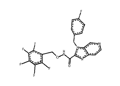 O=C(NOCc1c(F)c(F)c(F)c(F)c1F)c1nc2ccncc2n1Cc1ccc(F)cc1